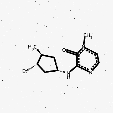 CC[C@H]1C[C@@H](Nc2nccn(C)c2=O)C[C@@H]1C